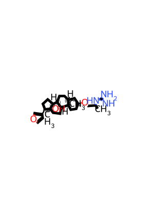 CC(CO[C@H]1CC[C@@]2(C)[C@H](CC[C@@H]3[C@@H]2CC[C@]2(C)[C@@H](c4ccoc4)CC[C@]32O)C1)NC(=N)N